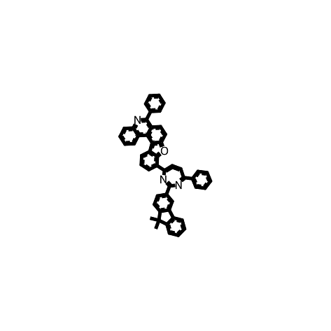 CC1(C)c2ccccc2-c2cc(C3=NC(c4cccc5c4oc4ccc6c(-c7ccccc7)nc7ccccc7c6c45)=C=CC(c4ccccc4)=N3)ccc21